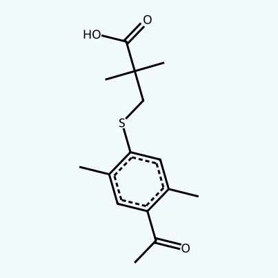 CC(=O)c1cc(C)c(SCC(C)(C)C(=O)O)cc1C